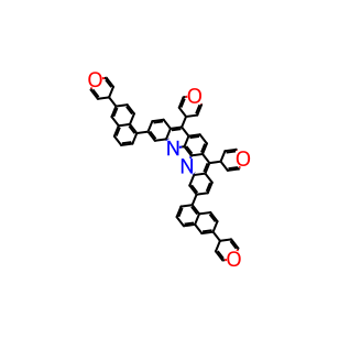 C1=CC(c2ccc3c(-c4ccc5c(C6C=COC=C6)c6ccc7c(C8C=COC=C8)c8ccc(-c9cccc%10cc(C%11C=COC=C%11)ccc9%10)cc8nc7c6nc5c4)cccc3c2)C=CO1